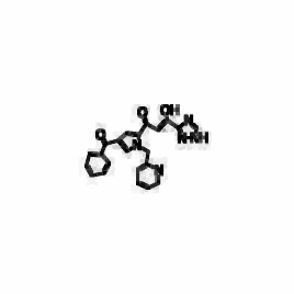 O=C(c1ccccc1)c1cc(C(=O)C=C(O)c2nc[nH]n2)n(Cc2ccccn2)c1